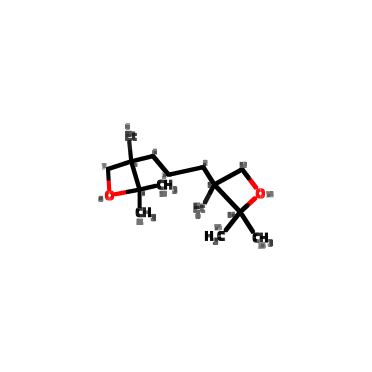 CCC1(CCCC2(CC)COC2(C)C)COC1(C)C